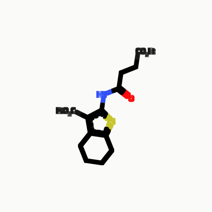 CCOC(=O)CCC(=O)Nc1sc2c(c1C(=O)OCC)CCCC2